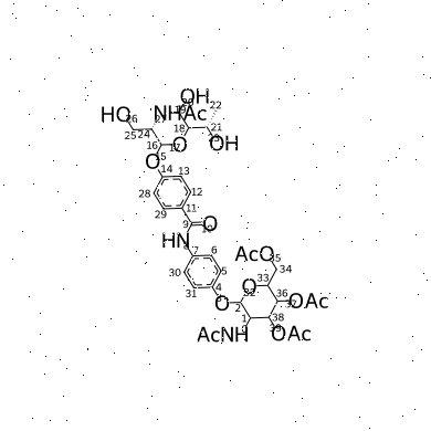 CC(=O)NC1C(Oc2ccc(NC(=O)c3ccc(OC(OC(CO)[C@H](C)O)[C@H](CO)NC(C)=O)cc3)cc2)OC(COC(C)=O)C(OC(C)=O)C1OC(C)=O